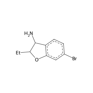 CCC1Oc2cc(Br)ccc2C1N